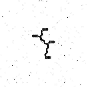 O=CCCCC=C(C=O)CCC=C(C=O)CCC=O